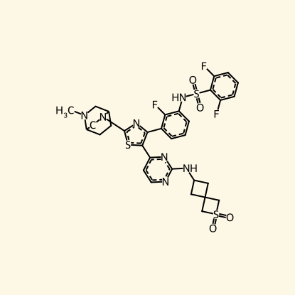 CN1CC2CCC1CN2c1nc(-c2cccc(NS(=O)(=O)c3c(F)cccc3F)c2F)c(-c2ccnc(NC3CC4(C3)CS(=O)(=O)C4)n2)s1